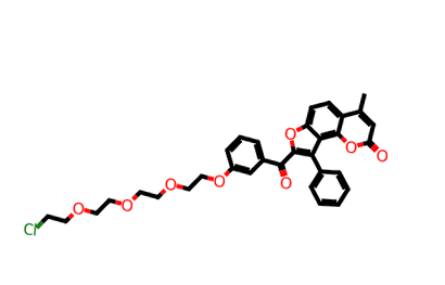 Cc1cc(=O)oc2c1ccc1oc(C(=O)c3cccc(OCCOCCOCCOCCCl)c3)c(-c3ccccc3)c12